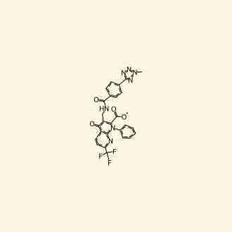 COC(=O)c1c(CNC(=O)c2ccc(-c3nnn(C)n3)cc2)c(=O)c2ccc(C(F)(F)F)nc2n1-c1ccccc1